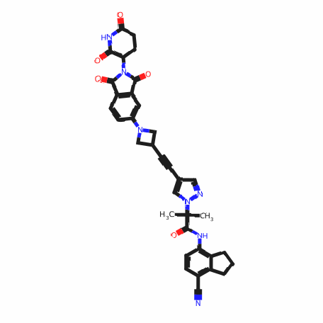 CC(C)(C(=O)Nc1ccc(C#N)c2c1CCC2)n1cc(C#CC2CN(c3ccc4c(c3)C(=O)N(C3CCC(=O)NC3=O)C4=O)C2)cn1